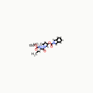 C=CC[C@H](NC(=O)OC(C)(C)C)C(=O)N1C[C@H](OC(=O)N2Cc3ccccc3C2)C[C@H]1C(=O)O